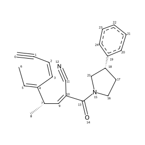 C#C/C=C\C(=C/C)[C@@H](C)/C=C(\C#N)C(=O)N1CC[C@@H](c2ccccc2)C1